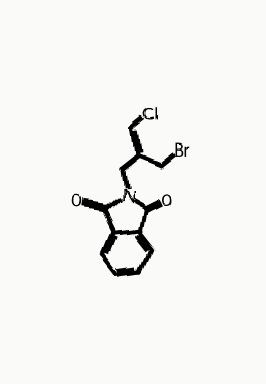 O=C1c2ccccc2C(=O)N1CC(=CCl)CBr